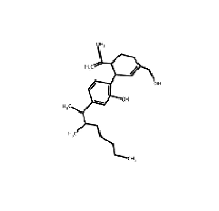 C=C(C)C1CCC(CO)=CC1c1ccc(C(C)C(C)CCCCC)cc1O